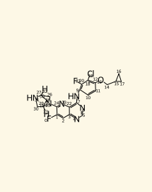 Fc1cc2ncnc(Nc3ccc(OCC4CC4)c(Cl)c3F)c2nc1N1C[C@@H]2C[C@H]1CN2